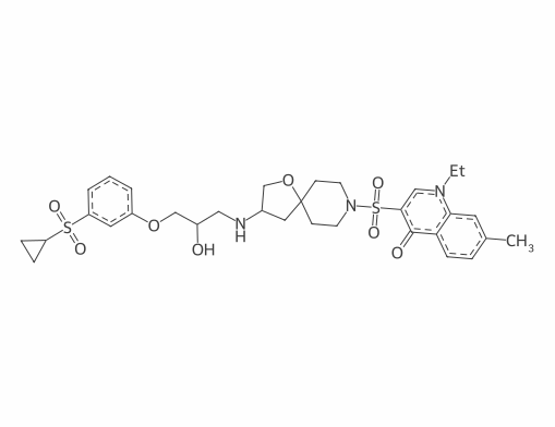 CCn1cc(S(=O)(=O)N2CCC3(CC2)CC(NCC(O)COc2cccc(S(=O)(=O)C4CC4)c2)CO3)c(=O)c2ccc(C)cc21